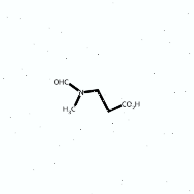 CN(C=O)CCC(=O)O